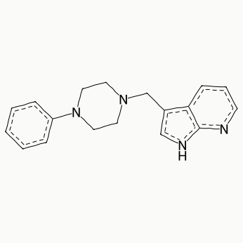 c1ccc(N2CCN(Cc3c[nH]c4ncccc34)CC2)cc1